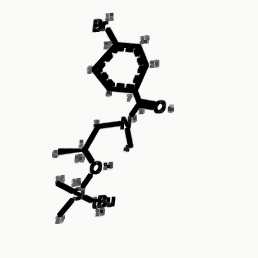 C[C@@H](CN(C)C(=O)c1ccc(Br)cc1)O[Si](C)(C)C(C)(C)C